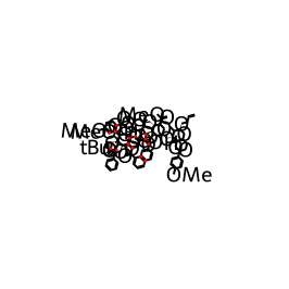 C=CCO[C@@H]1OC2COC(c3ccc(OC)cc3)O[C@@H]2[C@H](O[C@@H]2OC(C(=O)OC)[C@@H](O[C@@H]3OC4COC(c5ccc(OC)cc5)O[C@@H]4[C@H](O[C@@H]4OC(C(=O)OC)[C@@H](O[Si](C)(C)C(C)(C)C)[C@H](OC(=O)c5ccccc5)C4OC(=O)c4ccccc4)C3C)[C@H](OC(=O)c3ccccc3)C2OC(=O)c2ccccc2)C1C